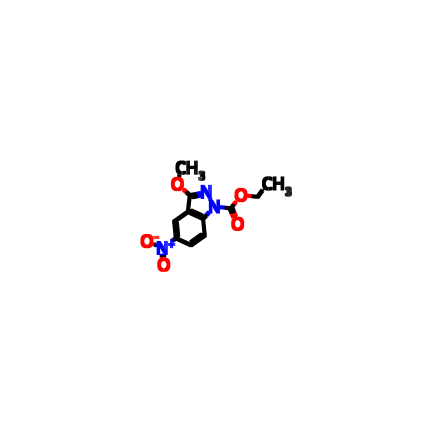 CCOC(=O)n1nc(OC)c2cc([N+](=O)[O-])ccc21